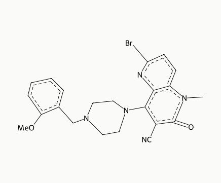 COc1ccccc1CN1CCN(c2c(C#N)c(=O)n(C)c3ccc(Br)nc23)CC1